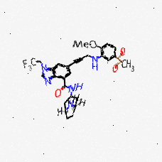 COc1ccc(S(C)(=O)=O)cc1NCC#Cc1cc(C(=O)NC2C[C@H]3CC[C@@H](C2)N3C)c2ncn(CC(F)(F)F)c2c1